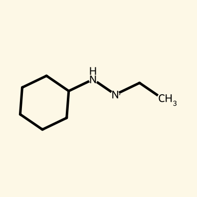 CC[N]NC1CCCCC1